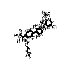 CNC(=O)c1nn(COCC[Si](C)(C)C)c2c(F)c(-c3c(F)ccc(NS(=O)(=O)c4cc(Cl)cnc4OC(F)F)c3F)ccc12